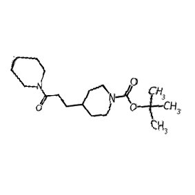 CC(C)(C)OC(=O)N1CCC(CCC(=O)N2CC[CH]CC2)CC1